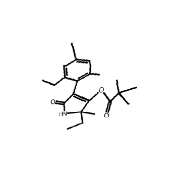 CCc1cc(C)cc(C)c1C1=C(OC(=O)C(C)(C)C)C(C)(CC)NC1=O